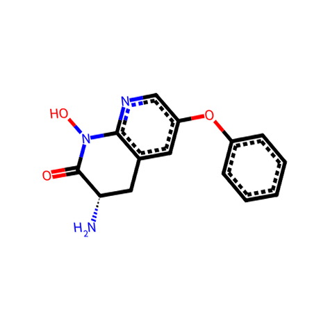 N[C@H]1Cc2cc(Oc3ccccc3)cnc2N(O)C1=O